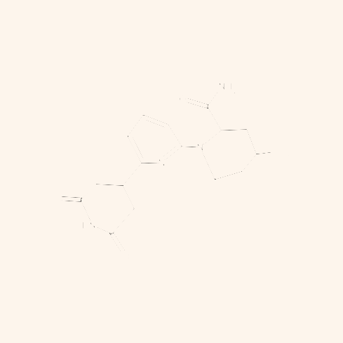 CC1CCN(c2[c]ccc(C3CC(=O)NC(=O)C3)n2)C(C(N)=O)C1